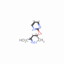 C[C@@H](CC(=N)C(=O)O)Oc1ncccn1